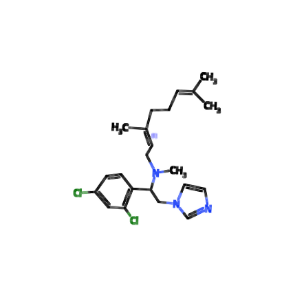 CC(C)=CCC/C(C)=C/CN(C)C(Cn1ccnc1)c1ccc(Cl)cc1Cl